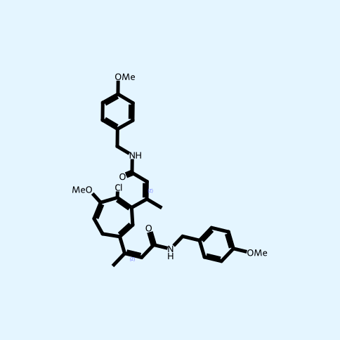 COC1=CCC(/C(C)=C\C(=O)NCc2ccc(OC)cc2)=CC(/C(C)=C\C(=O)NCc2ccc(OC)cc2)=C1Cl